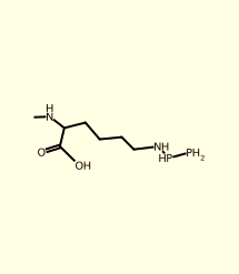 CNC(CCCCNPP)C(=O)O